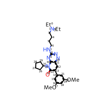 CCN(CC)CCCCNc1nnc2cc(-c3cc(OC)cc(OC)c3)c(=O)n(C3CCCC3)c2n1